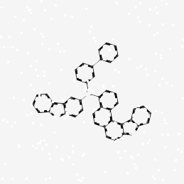 c1ccc(-c2cccc(N(c3ccc4sc5ccccc5c4c3)c3cccc4c3ccc3ccc5oc6ccccc6c5c34)c2)cc1